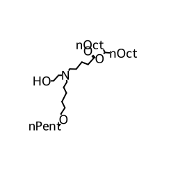 CCCCCCCCC(CCCCCCCC)OC(=O)CCCCN(CCO)CCCCCCOCCCCC